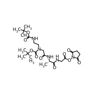 C[C@H](NC(=O)CN(CCNC(=O)OC(C)(C)C)C(=O)OC(C)(C)C)C(=O)NCC(=O)ON1C(=O)CCC1=O